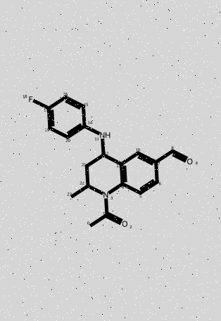 CC(=O)N1c2ccc([C]=O)cc2C(Nc2ccc(F)cc2)CC1C